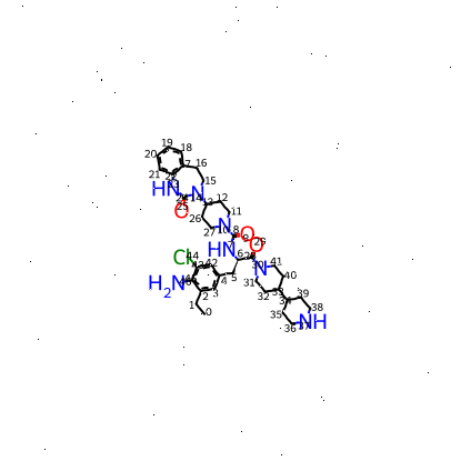 CCc1cc(C[C@@H](NC(=O)N2CCC(N3CCc4ccccc4NC3=O)CC2)C(=O)N2CCC(C3CCNCC3)CC2)cc(Cl)c1N